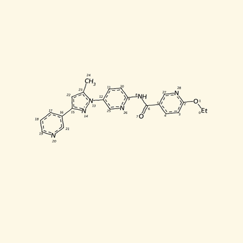 CCOc1ccc(C(=O)Nc2ccc(-n3nc(-c4cccnc4)cc3C)cn2)cn1